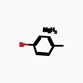 Cc1ccc(Br)cc1.[MgH2]